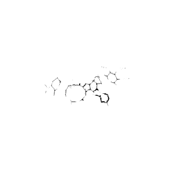 CC[C@H]1CCC[C@H](O[C@H]2CC[C@H](N(C)C)C(C)O2)[C@@H](C)C(=O)C2=C[C@H]3[C@@H]4C[C@H](OC5OC(C)C(OC)C(OC)C5OC)C[C@H]4c4c(nc5cc(Cl)ccn45)[C@H]3[C@@H]2CC(=O)O1